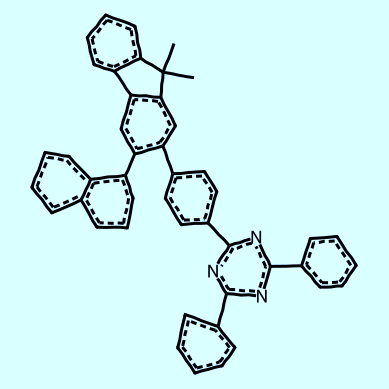 CC1(C)c2ccccc2-c2cc(-c3cccc4ccccc34)c(-c3ccc(-c4nc(-c5ccccc5)nc(-c5ccccc5)n4)cc3)cc21